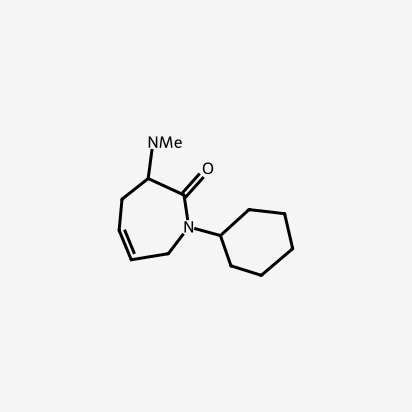 CNC1CC=CCN(C2CCCCC2)C1=O